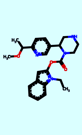 CCn1c(OC(=O)N2CCNCC2c2ccc(C(C)OC)nc2)cc2ccccc21